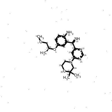 COC[C@H](C)Oc1ccc(N)c(C(=N)c2cc(N3CCOC(C)(C)C3)ncn2)c1